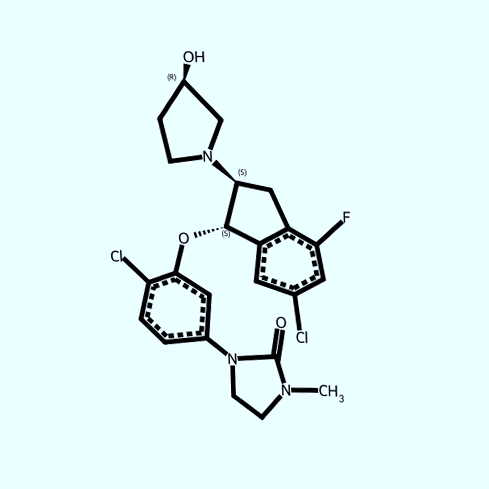 CN1CCN(c2ccc(Cl)c(O[C@H]3c4cc(Cl)cc(F)c4C[C@@H]3N3CC[C@@H](O)C3)c2)C1=O